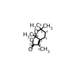 CC1=C2CCC(C)(C)OC2(C)OC1=O